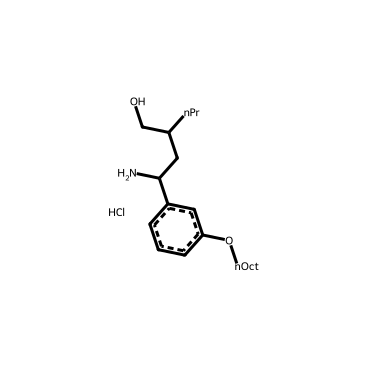 CCCCCCCCOc1cccc(C(N)CC(CO)CCC)c1.Cl